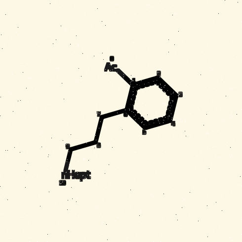 [CH2]C(=O)c1ccccc1CCCCCCCCCC